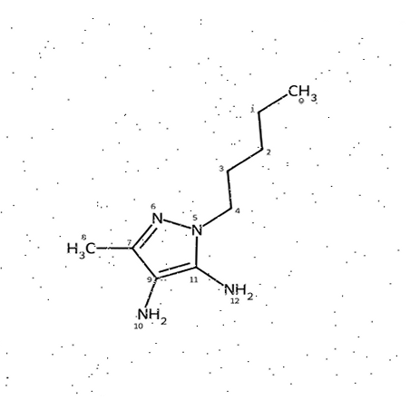 CCCCCn1nc(C)c(N)c1N